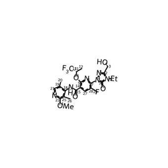 CCn1c(CO)nn(-c2nc(O[C@@H](C)C(F)(F)F)c(C(=O)Nc3c(C)cnc(OC)c3C)cc2F)c1=O